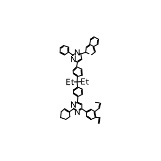 C=Cc1ccc(-c2cc(-c3ccc(C(CC)(CC)c4ccc(-c5cc(C(C)/C=c6/cccc/c6=C/C)nc(-c6ccccc6)n5)cc4)cc3)nc(C3=CCCCC3)n2)cc1/C=C\C